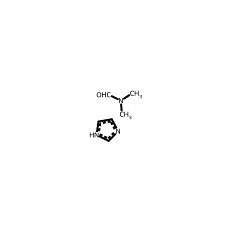 CN(C)C=O.c1c[nH]cn1